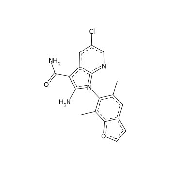 Cc1cc2ccoc2c(C)c1-n1c(N)c(C(N)=O)c2cc(Cl)cnc21